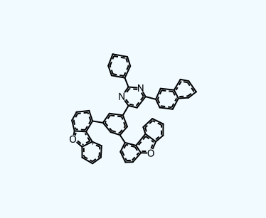 c1ccc(-c2nc(-c3cc(-c4cccc5oc6ccccc6c45)cc(-c4cccc5oc6ccccc6c45)c3)cc(-c3ccc4ccccc4c3)n2)cc1